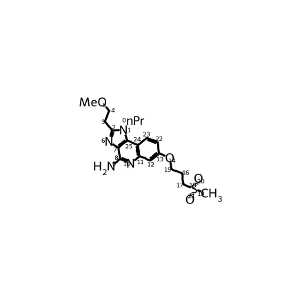 CCCn1c(CCOC)nc2c(N)nc3cc(OCCCS(C)(=O)=O)ccc3c21